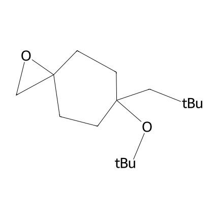 CC(C)(C)CC1(OC(C)(C)C)CCC2(CC1)CO2